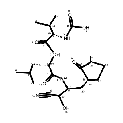 CC(C)C[C@H](NC(=O)[C@@H](NC(=O)O)C(C)C)C(=O)N[C@@H](C[C@@H]1CCNC1=O)C(O)C#N